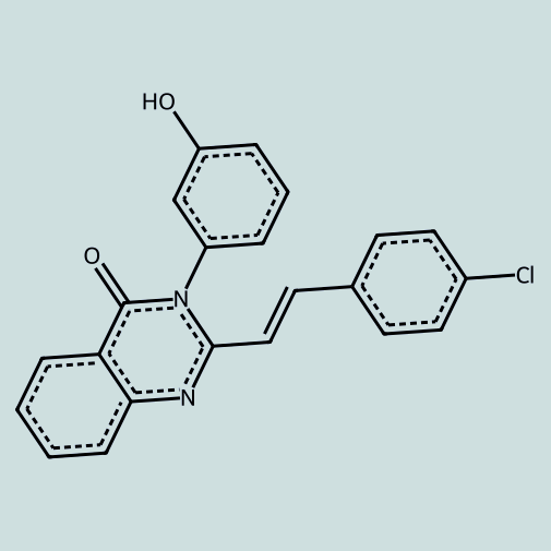 O=c1c2ccccc2nc(/C=C/c2ccc(Cl)cc2)n1-c1cccc(O)c1